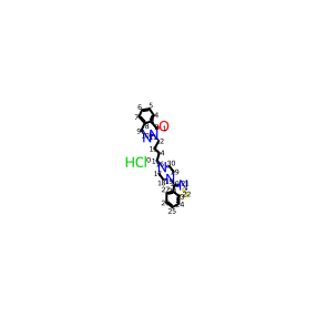 Cl.O=c1c2ccccc2cnn1CCCCN1CCN(c2nsc3ccccc23)CC1